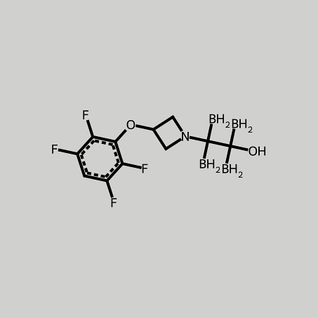 BC(B)(O)C(B)(B)N1CC(Oc2c(F)c(F)cc(F)c2F)C1